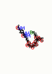 CC(=O)NCc1ccc(NC(=O)NCCCCCOC(=O)C(C)OC(=O)C(C)OC(=O)OCC(C)(COC(C)=O)C(=O)OCCCBr)cc1